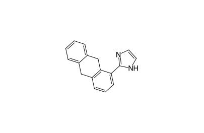 c1ccc2c(c1)Cc1cccc(-c3ncc[nH]3)c1C2